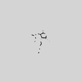 B[C@@H]1O[C@H](CC)C(OP(C)[O][Ce])[C@@H]1OCSSC(C)(C)C